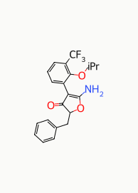 CC(C)Oc1c(C2=C(N)OC(Cc3ccccc3)C2=O)cccc1C(F)(F)F